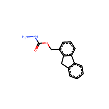 NNC(=O)OCc1cccc2c1Cc1ccccc1-2